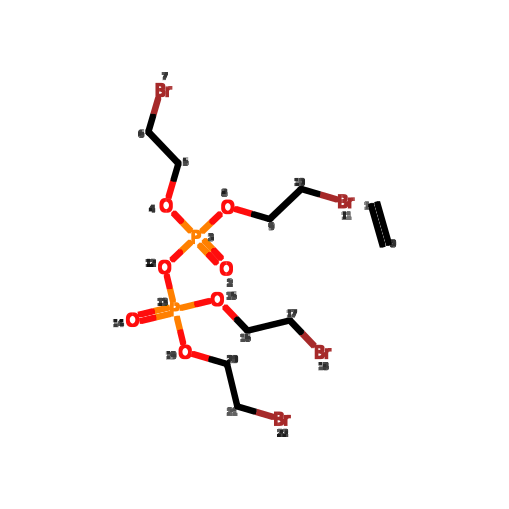 C=C.O=P(OCCBr)(OCCBr)OP(=O)(OCCBr)OCCBr